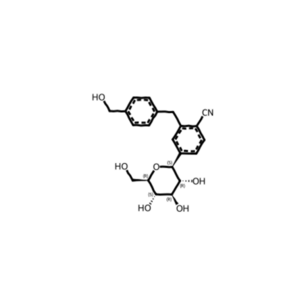 N#Cc1ccc([C@@H]2O[C@H](CO)[C@@H](O)[C@H](O)[C@H]2O)cc1Cc1ccc(CO)cc1